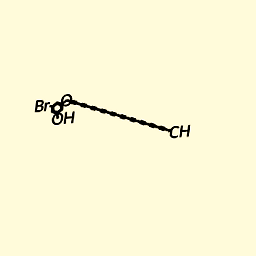 C#CC#CC#CC#CC#CC#CC#CC#CC#CC#CC#COc1cc(O)cc(Br)c1